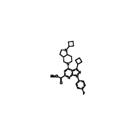 COC(=O)c1cc(N2CCC3C(CCN3C3CCC3)C2)c2c(C3CCC3)nn(-c3ccc(F)cc3)c2n1